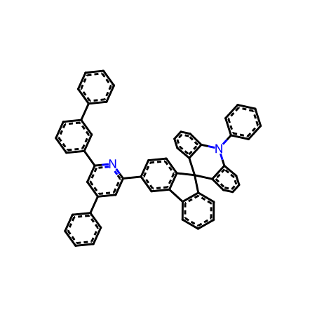 c1ccc(-c2cccc(-c3cc(-c4ccccc4)cc(-c4ccc5c(c4)-c4ccccc4C54c5ccccc5N(c5ccccc5)c5ccccc54)n3)c2)cc1